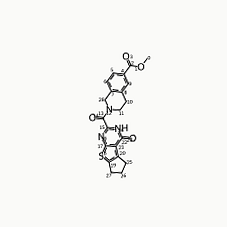 COC(=O)c1ccc2c(c1)CCN(C(=O)c1nc3sc4c(c3c(=O)[nH]1)CCC4)C2